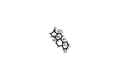 C[C@]12CCC3OC3C1CC[C@@H]1[C@H]2CC[C@]2(C)C(=O)CC[C@@H]12